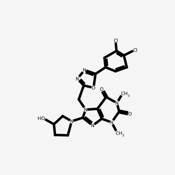 Cn1c(=O)c2c(nc(N3CCC(O)C3)n2Cc2nnc(-c3ccc(Cl)c(Cl)c3)o2)n(C)c1=O